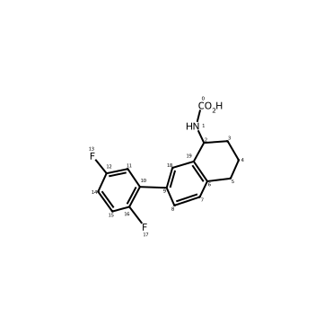 O=C(O)NC1CCCc2ccc(-c3cc(F)ccc3F)cc21